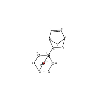 C1=CC2CC1CC2[Si]12OCC(CO1)CO2